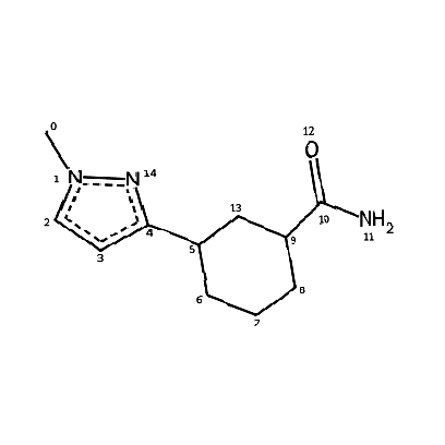 Cn1ccc(C2CCCC(C(N)=O)C2)n1